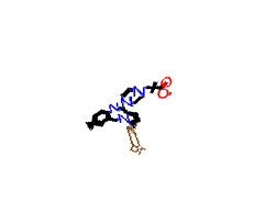 COC(=O)C(C)(C)CN1CCN(C2=Nc3ccc(C)cc3Cn3c(Br)ccc32)CC1